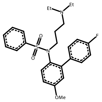 CCN(CC)CCCN(c1ccc(OC)cc1-c1ccc(F)cc1)S(=O)(=O)c1ccccc1